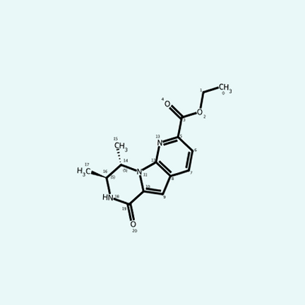 CCOC(=O)c1ccc2cc3n(c2n1)[C@@H](C)[C@H](C)NC3=O